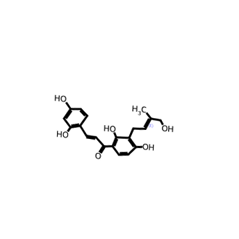 C/C(=C\Cc1c(O)ccc(C(=O)C=Cc2ccc(O)cc2O)c1O)CO